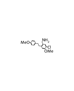 COc1ccc(CCc2cc(OC)c(Cl)cc2CN)cc1